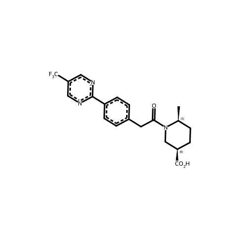 C[C@H]1CC[C@@H](C(=O)O)CN1C(=O)Cc1ccc(-c2ncc(C(F)(F)F)cn2)cc1